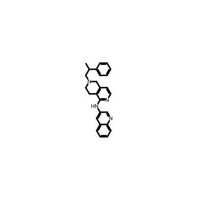 CC(CN1CCc2c(ccnc2Nc2cnc3ccccc3c2)C1)c1ccccc1